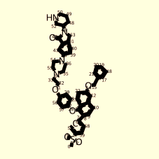 CS(=O)(=O)c1ccc(-c2ccc3cc(OCc4ccccc4)ccc3c2Oc2ccc(OCCN3CCN(c4ccc5c(c4)C(=O)N(C4CCCNC4)C5)CC3)cc2)cc1